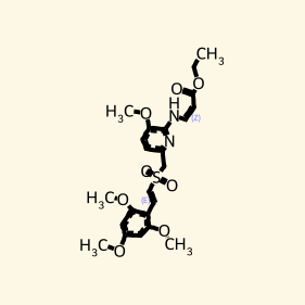 CCOC(=O)/C=C\Nc1nc(CS(=O)(=O)/C=C/c2c(OC)cc(OC)cc2OC)ccc1OC